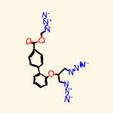 [N-]=[N+]=NCOC(=O)c1ccc(-c2ccccc2OC(CN=[N+]=[N-])CN=[N+]=[N-])cc1